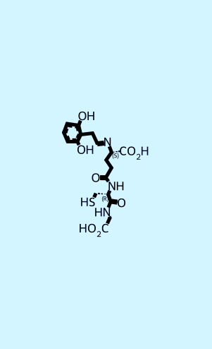 O=C(O)CNC(=O)[C@H](CS)NC(=O)CC[C@H](N=CCc1c(O)cccc1O)C(=O)O